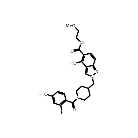 COCCNC(=O)c1ccc2nn(CC3CCN(C(=O)c4ccc(C)cc4F)CC3)cc2c1C